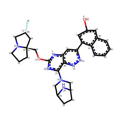 Oc1cc(-c2cc3nc(OC[C@@]45CCCN4C[C@H](F)C5)nc(N4CC5CCC(C4)N5)c3nn2)c2ccccc2c1